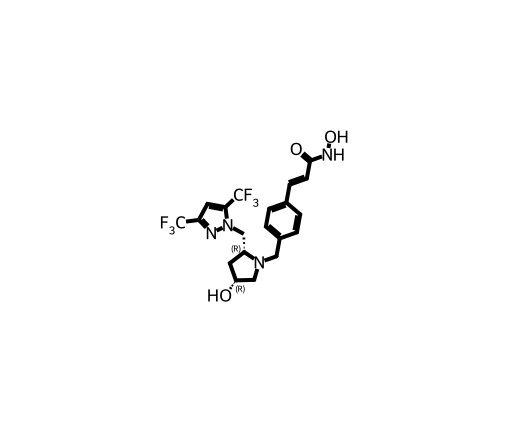 O=C(C=Cc1ccc(CN2C[C@H](O)C[C@@H]2Cn2nc(C(F)(F)F)cc2C(F)(F)F)cc1)NO